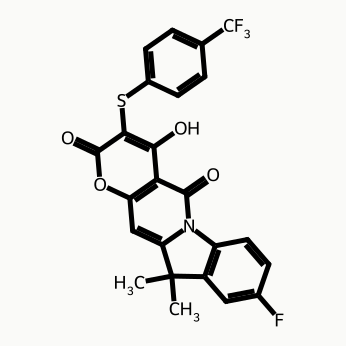 CC1(C)c2cc(F)ccc2-n2c1cc1oc(=O)c(Sc3ccc(C(F)(F)F)cc3)c(O)c1c2=O